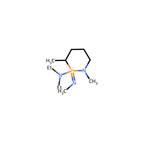 CCN(CC)P1(=NC)C(C)CCCN1C